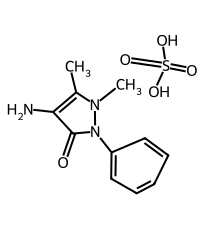 Cc1c(N)c(=O)n(-c2ccccc2)n1C.O=S(=O)(O)O